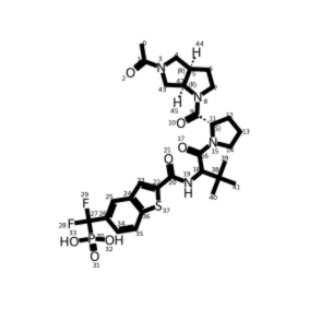 CC(=O)N1C[C@H]2CCN(C(=O)[C@@H]3CCCN3C(=O)C(NC(=O)c3cc4cc(C(F)(F)P(=O)(O)O)ccc4s3)C(C)(C)C)[C@H]2C1